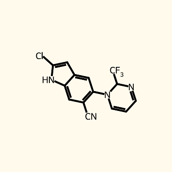 N#Cc1cc2[nH]c(Cl)cc2cc1N1C=CC=NC1C(F)(F)F